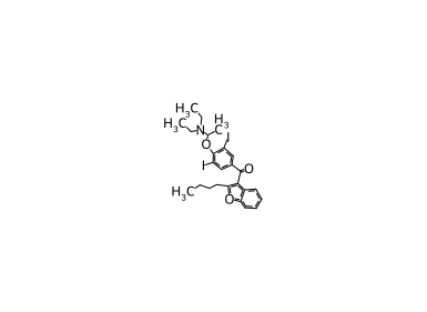 CCCCc1oc2ccccc2c1C(=O)c1cc(I)c(OC(C)N(CC)CC)c(I)c1